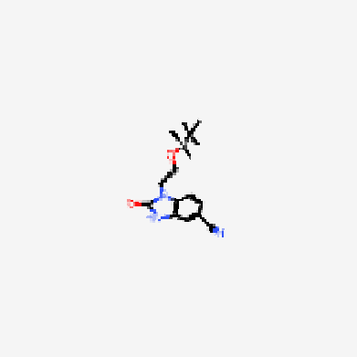 CC(C)(C)[Si](C)(C)OCCn1c(=O)[nH]c2cc(C#N)ccc21